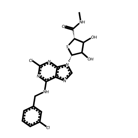 CNC(=O)[C@H]1S[C@@H](n2cnc3c(NCc4cccc(Cl)c4)nc(Cl)nc32)C(O)C1O